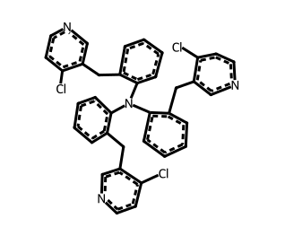 Clc1ccncc1Cc1ccccc1N(c1ccccc1Cc1cnccc1Cl)c1ccccc1Cc1cnccc1Cl